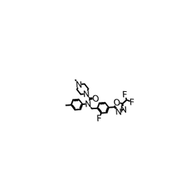 Cc1ccc(N(Cc2ccc(-c3nnc(C(F)F)o3)cc2F)C(=O)N2CCN(C)CC2)cc1